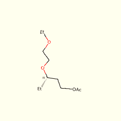 CCOCCO[C@@H](CC)CCOC(C)=O